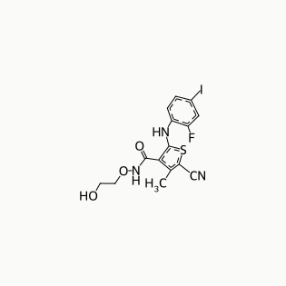 Cc1c(C#N)sc(Nc2ccc(I)cc2F)c1C(=O)NOCCO